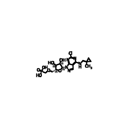 CC1(CNc2nc(Cl)nc3c2cnn3[C@@H]2O[C@H](COCP(=O)(O)O)[C@@H](O)[C@H]2O)CC1